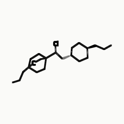 CCCC12CCC(C(Cl)C[C@H]3CC[C@H](CCC)CC3)(CC1)CC2